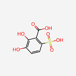 O=C(O)c1c(S(=O)(=O)O)ccc(O)c1O